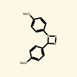 COc1ccc(C2SSP2c2ccc(OC)cc2)cc1